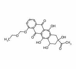 CCOCOc1cccc2c1C(=O)c1c(O)c3c(c(O)c1C2=O)CC(O)(C(C)=O)CC3O